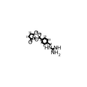 N=C(N)NCc1ccc(C(=O)ON2C(=O)CCC2=O)cc1